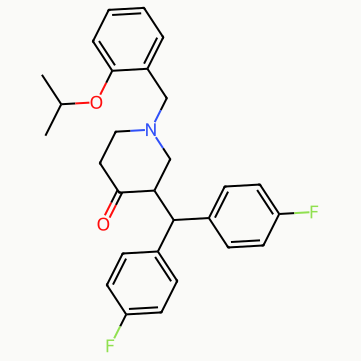 CC(C)Oc1ccccc1CN1CCC(=O)C(C(c2ccc(F)cc2)c2ccc(F)cc2)C1